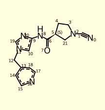 N#CN1CC[C@H](C(=O)Nc2cn(Cc3ccncc3)cn2)C1